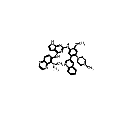 COc1cc(N2CCN(C)CC2)c(-c2cnc3ccccc3c2)cc1Nc1nc(Nc2ccc3nccnc3c2P(C)C)c2cc[nH]c2n1